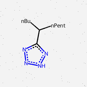 CCCCCC(CCCC)c1nn[nH]n1